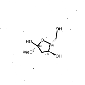 CO[C@@]1(O)C[C@H](O)[C@@H](CO)O1